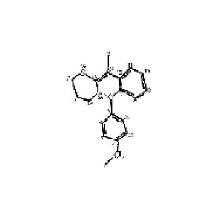 COc1ccc(Oc2ccccc2C(C)=C2SCCCS2)cc1